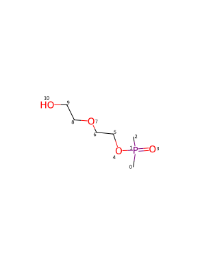 CP(C)(=O)OCCOCCO